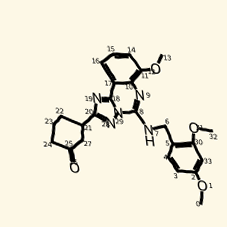 COc1ccc(CNc2nc3c(OC)cccc3c3nc(C4CCCC(=O)C4)nn23)c(OC)c1